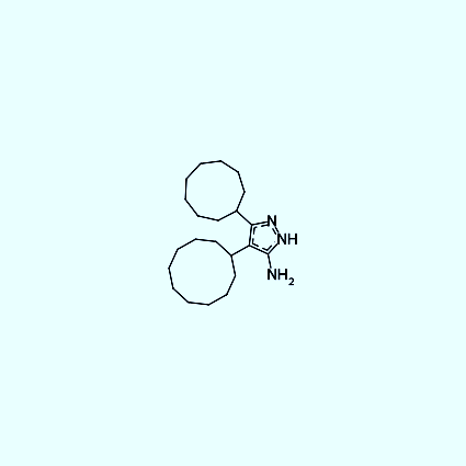 Nc1[nH]nc(C2CCCCCCCC2)c1C1CCCCCCCCC1